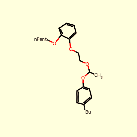 CCCCCOc1ccccc1OCCOC(C)Oc1ccc(C(C)CC)cc1